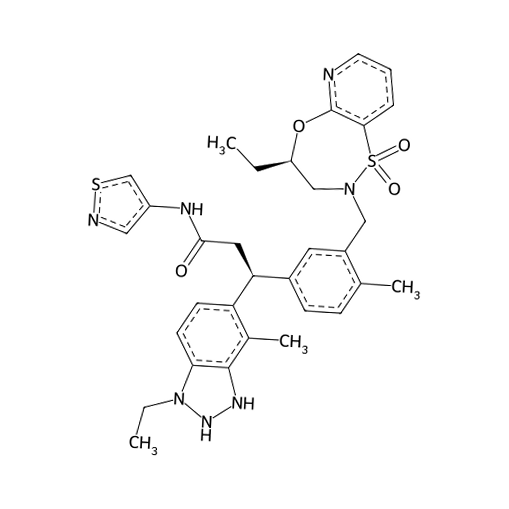 CC[C@@H]1CN(Cc2cc([C@H](CC(=O)Nc3cnsc3)c3ccc4c(c3C)NNN4CC)ccc2C)S(=O)(=O)c2cccnc2O1